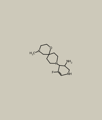 CN1CCOC2(CCN(C3C(F)=CNCC3N)CC2)C1